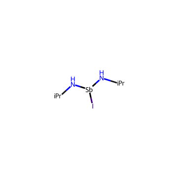 CC(C)[NH][Sb]([I])[NH]C(C)C